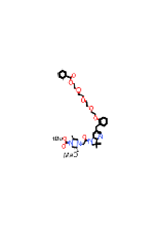 COC[C@@H]1CN(C(=O)OC(C)(C)C)[C@@H](C)CN1CC(=O)N1CC(C)(C)c2ncc(Cc3ccccc3OCCOCCOCCOCCOC(=O)c3ccccc3)cc21